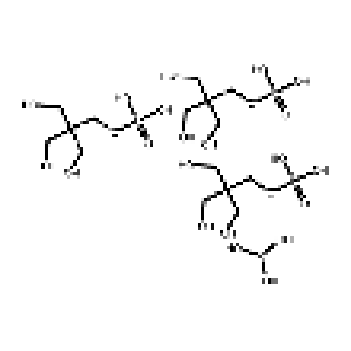 O=P(O)(O)OCC(CO)(CO)CO.O=P(O)(O)OCC(CO)(CO)CO.O=P(O)(O)OCC(CO)(CO)CO.OP(O)O